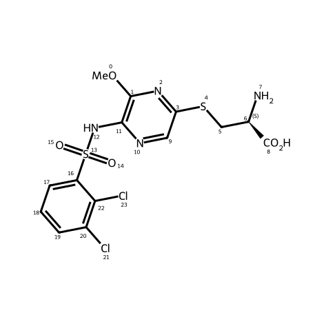 COc1nc(SC[C@@H](N)C(=O)O)cnc1NS(=O)(=O)c1cccc(Cl)c1Cl